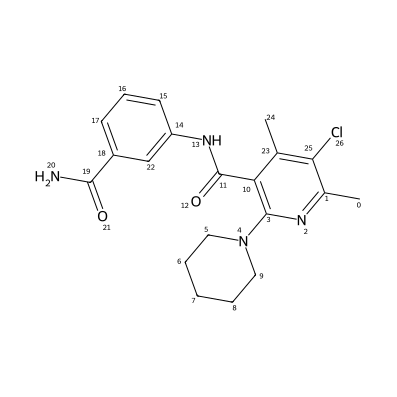 Cc1nc(N2CCCCC2)c(C(=O)Nc2cccc(C(N)=O)c2)c(C)c1Cl